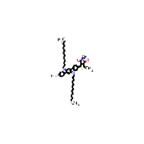 CCCCCCCCCCCCCn1c2cc(C)ccc2c2cc3c(cc21)c1ccc(-c2sc(C)c4c2C(=O)N(C)C4=O)cc1n3CCCCCCCCCCCCC